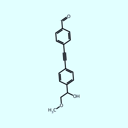 COCC(O)c1ccc(C#Cc2ccc([C]=O)cc2)cc1